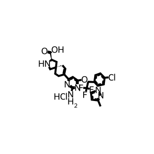 Cc1ccn(-c2cc(Cl)ccc2C(Oc2cc(C3=CC[C@]4(CC3)CN[C@@H](C(=O)O)C4)nc(N)n2)C(F)(F)F)n1.Cl